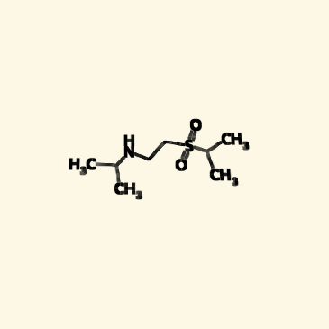 CC(C)NCCS(=O)(=O)C(C)C